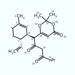 C=C[C@@H]1CCC(C)=C[C@H]1C(C(=O)CC(=O)CCC)C1=CC(=O)OC(C)(C)O1